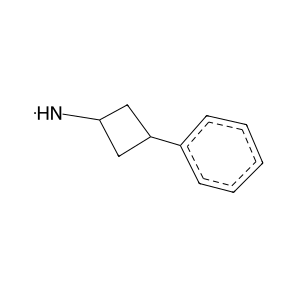 [NH]C1CC(c2ccccc2)C1